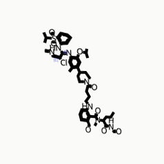 C=N/C=C(Cl)\C(=N/c1cc(C)c(C2CCN(C(=O)CCCNc3cccc(C=O)c3C(=O)N(C)C(CCC)C(=O)NC=O)CC2)cc1OC(C)C)Nc1ccccc1S(=O)(=O)C(C)C